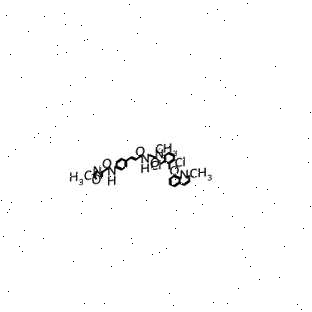 Cc1ccc2cccc(OCc3c(Cl)ccc(N(C)C(=O)CNC(=O)C=Cc4ccc(NC(=O)c5coc(C)n5)cc4)c3Cl)c2n1